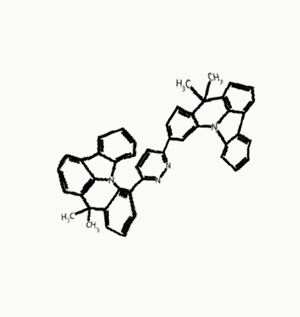 CC1(C)c2ccc(-c3ccc(-c4cccc5c4-n4c6ccccc6c6cccc(c64)C5(C)C)nn3)cc2-n2c3ccccc3c3cccc1c32